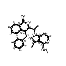 Cc1nn(C(C)c2oc(=O)c3ccccc3c2Cc2ccccc2)c2ncnc(N)c12